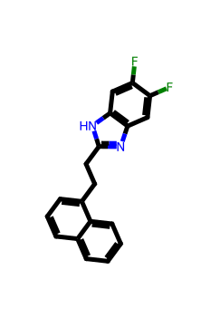 Fc1cc2nc(CCc3cccc4ccccc34)[nH]c2cc1F